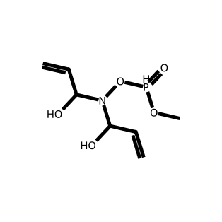 C=CC(O)N(O[PH](=O)OC)C(O)C=C